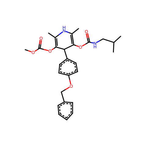 COC(=O)OC1=C(C)NC(C)=C(OC(=O)NCC(C)C)C1c1ccc(OCc2ccccc2)cc1